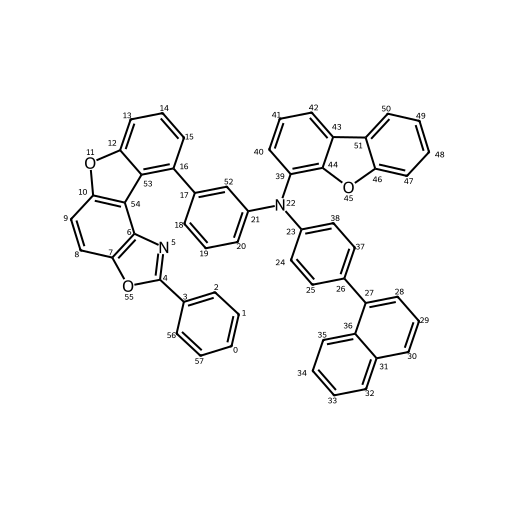 c1ccc(-c2nc3c(ccc4oc5cccc(-c6cccc(N(c7ccc(-c8cccc9ccccc89)cc7)c7cccc8c7oc7ccccc78)c6)c5c43)o2)cc1